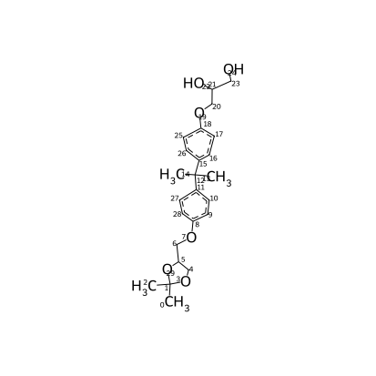 CC1(C)OCC(COc2ccc(C(C)(C)c3ccc(OCC(O)CO)cc3)cc2)O1